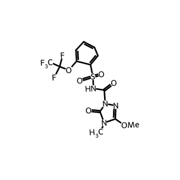 COc1nn(C(=O)NS(=O)(=O)c2ccccc2OC(F)(F)C(F)(F)F)c(=O)n1C